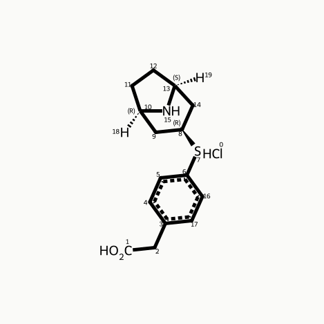 Cl.O=C(O)Cc1ccc(S[C@H]2C[C@H]3CC[C@@H](C2)N3)cc1